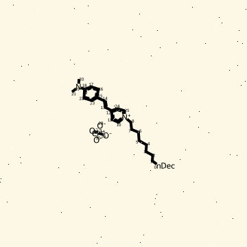 CCCCCCCCCCCCCCCCCC[n+]1ccc(C=Cc2ccc(N(C)C)cc2)cc1.[O-][Cl+3]([O-])([O-])[O-]